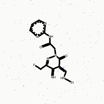 CCN/C=C1\C(=N)C(CF)=NN(CC(=O)Nc2ncccn2)C1=O